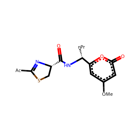 CCC[C@@H](NC(=O)[C@@H]1CSC(C(C)=O)=N1)c1cc(OC)cc(=O)o1